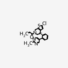 C=CC(=O)N1Cc2sc(Cl)cc2[C@@H](c2ccccc2-c2cnc(C)nc2)C1